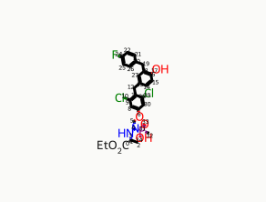 CCOC(=O)C(C)NN(COc1cc(Cl)c(Cc2ccc(O)c(Cc3ccc(F)cc3)c2)c(Cl)c1)P(C)(=O)O